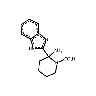 NC1(c2nc3ccccc3[nH]2)CCCCN1C(=O)O